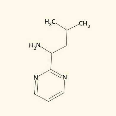 CC(C)CC(N)c1ncccn1